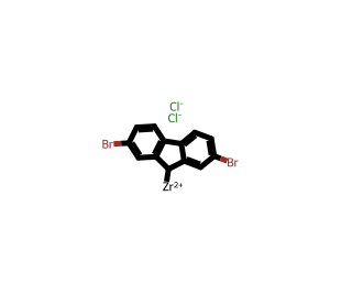 Brc1ccc2c(c1)[CH]([Zr+2])c1cc(Br)ccc1-2.[Cl-].[Cl-]